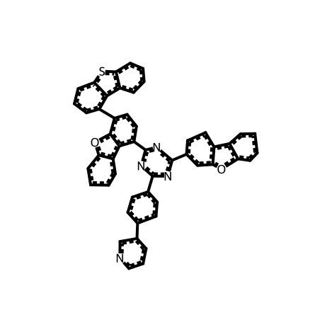 c1cncc(-c2ccc(-c3nc(-c4ccc5c(c4)oc4ccccc45)nc(-c4ccc(-c5cccc6sc7ccccc7c56)c5oc6ccccc6c45)n3)cc2)c1